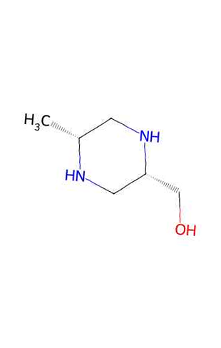 C[C@@H]1CN[C@H](CO)CN1